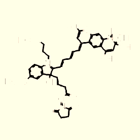 CCN1c2cc3c(cc2C(C)=CC1(C)C)/C(=C/C=C/C=C/C1=[N+](CCCS(=O)(=O)O)c2ccc(S(=O)(=O)O)cc2C1(C)CCCC(=O)ON1C(=O)CCC1=O)C=C(C(C)(C)C)O3